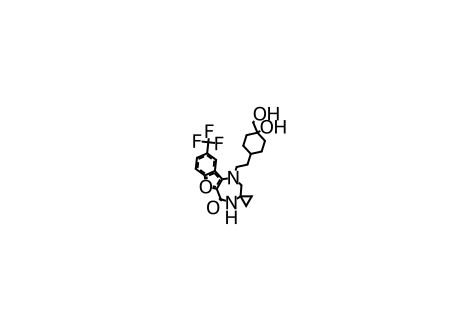 O=C1NC2(CC2)CN(CCC2CCC(O)(CO)CC2)c2c1oc1ccc(C(F)(F)F)cc21